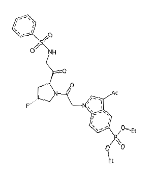 CCOP(=O)(OCC)c1ccc2c(c1)c(C(C)=O)cn2CC(=O)N1C[C@H](F)C[C@H]1C(=O)CNS(=O)(=O)c1ccccc1